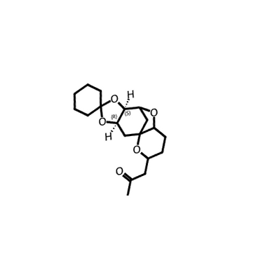 CC(=O)CC1CCC2OC3CC2(C[C@H]2OC4(CCCCC4)O[C@@H]32)O1